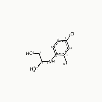 C[C@@H](CO)Nc1ccc(Cl)cc1I